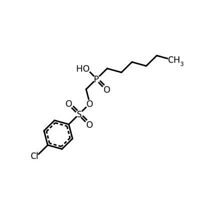 CCCCCCP(=O)(O)COS(=O)(=O)c1ccc(Cl)cc1